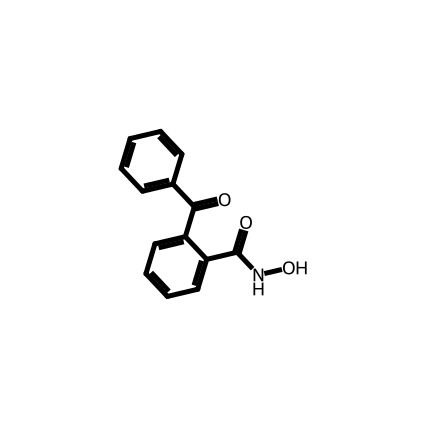 O=C(NO)c1ccccc1C(=O)c1ccccc1